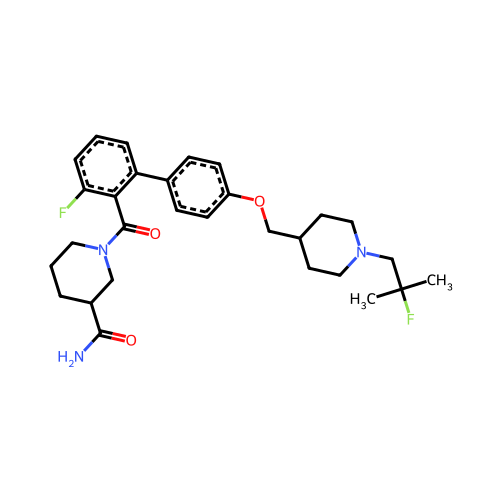 CC(C)(F)CN1CCC(COc2ccc(-c3cccc(F)c3C(=O)N3CCCC(C(N)=O)C3)cc2)CC1